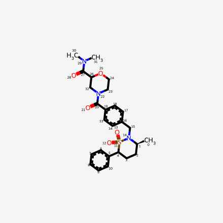 C[C@H]1CCC(c2ccccc2)S(=O)(=O)N1Cc1ccc(C(=O)N2CCOC(C(=O)N(C)C)C2)cc1